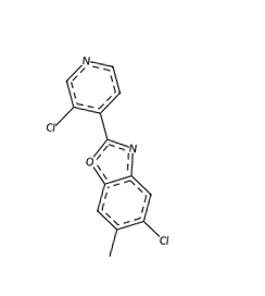 Cc1cc2oc(-c3ccncc3Cl)nc2cc1Cl